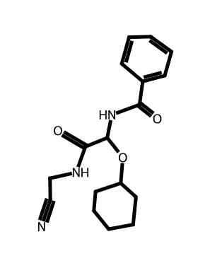 N#CCNC(=O)C(NC(=O)c1ccccc1)OC1CCCCC1